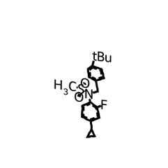 CC(C)(C)c1ccc(CN(c2ccc(C3CC3)cc2F)S(C)(=O)=O)cc1